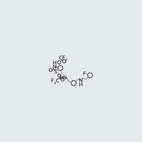 O=C(Oc1ccc([C@H](CNCCc2cccc(CNCCc3ccccc3F)c2)OC(=O)C(F)(F)F)c2sc(=O)[nH]c12)C(F)(F)F